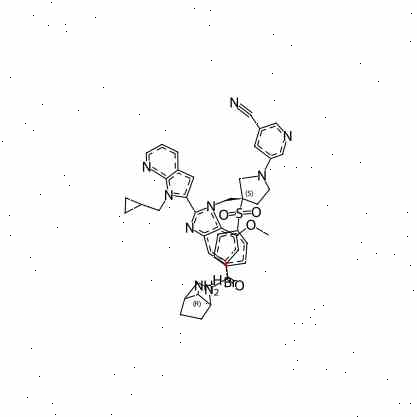 COc1cc(C(=O)N2CC3CCC2[C@@H]3N)cc2nc(-c3cc4cccnc4n3CC3CC3)n(C[C@]3(S(=O)(=O)c4ccc(Br)cc4)CCN(c4cncc(C#N)c4)C3)c12